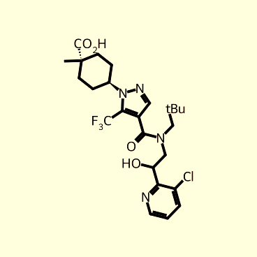 CC(C)(C)CN(CC(O)c1ncccc1Cl)C(=O)c1cnn([C@H]2CC[C@](C)(C(=O)O)CC2)c1C(F)(F)F